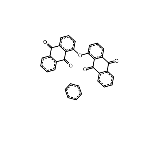 O=C1c2ccccc2C(=O)c2c(Oc3cccc4c3C(=O)c3ccccc3C4=O)cccc21.c1ccccc1